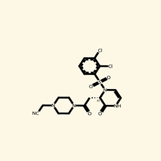 N#CCN1CCN(C(=O)C[C@H]2C(=O)NC=CN2S(=O)(=O)c2cccc(Cl)c2Cl)CC1